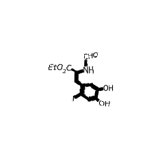 CCOC(=O)[C@H](Cc1cc(O)c(O)cc1I)NC=O